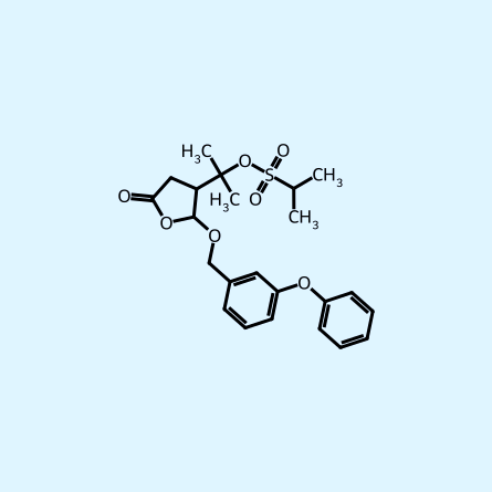 CC(C)S(=O)(=O)OC(C)(C)C1CC(=O)OC1OCc1cccc(Oc2ccccc2)c1